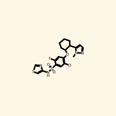 Cn1nccc1C1CCCCC1Oc1cc(F)c(S(=O)(=O)Nc2cscn2)cc1Cl